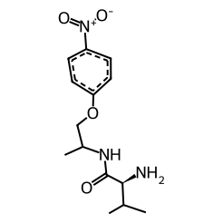 CC(COc1ccc([N+](=O)[O-])cc1)NC(=O)[C@@H](N)C(C)C